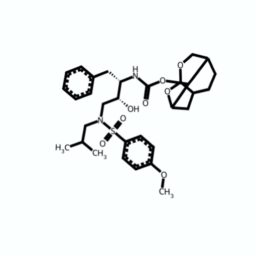 COc1ccc(S(=O)(=O)N(CC(C)C)C[C@@H](O)[C@H](Cc2ccccc2)NC(=O)OC2C3CCC4CC2OC4OC3)cc1